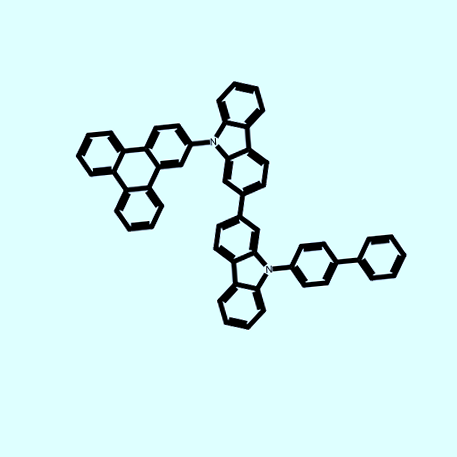 c1ccc(-c2ccc(-n3c4ccccc4c4ccc(-c5ccc6c7ccccc7n(-c7ccc8c9ccccc9c9ccccc9c8c7)c6c5)cc43)cc2)cc1